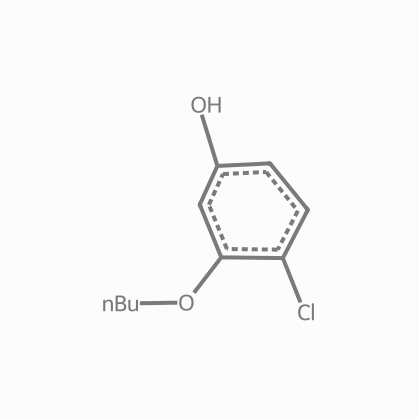 CCCCOc1cc(O)ccc1Cl